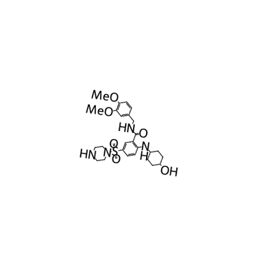 COc1ccc(CNC(=O)c2cc(S(=O)(=O)N3CCNCC3)ccc2NC2CCC(O)CC2)cc1OC